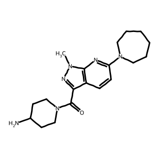 Cn1nc(C(=O)N2CCC(N)CC2)c2ccc(N3CCCCCC3)nc21